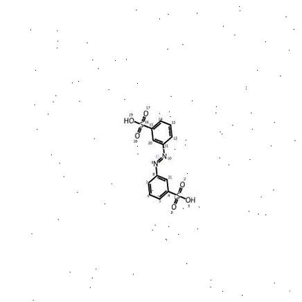 O=S(=O)(O)c1cccc(/N=N/c2cccc(S(=O)(=O)O)c2)c1